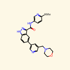 CNc1ccc(NC(=O)c2n[nH]c3ccc(-c4cncc(CN5CCOCC5)c4)cc23)cn1